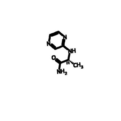 C[C@@H](Nc1cnccn1)C(N)=O